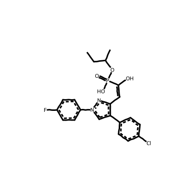 CCC(C)OP(=O)(O)C(O)=Cc1nn(-c2ccc(F)cc2)cc1-c1ccc(Cl)cc1